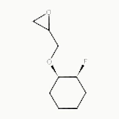 F[C@H]1CCCC[C@H]1OCC1CO1